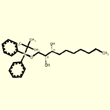 CCCCCCC[C@@H](O)[C@H](O)CO[Si](c1ccccc1)(c1ccccc1)C(C)(C)C